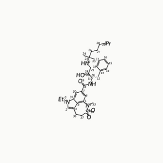 CCn1cc2c3c(cc(C(=O)N[C@@H](Cc4ccccc4)[C@H](O)CNC(C)(C)CCCC(C)C)cc31)N(C)S(=O)(=O)CC2